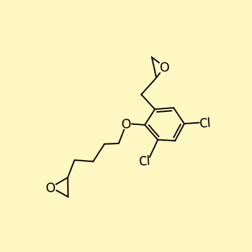 Clc1cc(Cl)c(OCCCCC2CO2)c(CC2CO2)c1